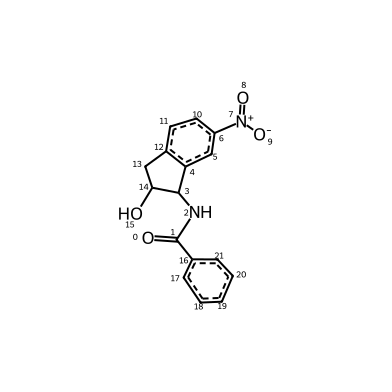 O=C(NC1c2cc([N+](=O)[O-])ccc2CC1O)c1ccccc1